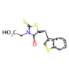 O=C(O)CN1C(=O)C(=Cc2csc3ccccc23)SC1=S